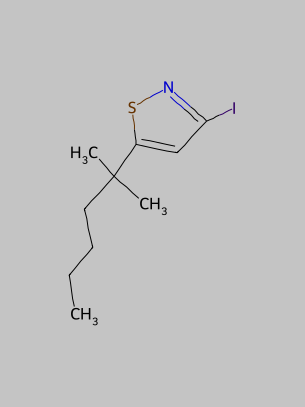 CCCCC(C)(C)c1cc(I)ns1